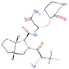 CC(C)(C)[C@H](N)C(=O)N1C[C@@H]2CCC[C@@H]2[C@H]1C(=O)N[C@@H](C[C@@H]1CCNC1=O)C(N)=O